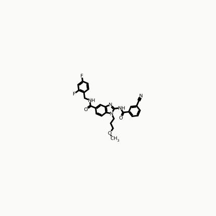 COCCCn1c(NC(=O)c2cccc(C#N)c2)nc2cc(C(=O)NCc3ccc(F)cc3F)ccc21